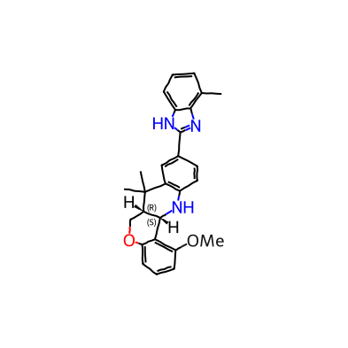 COc1cccc2c1[C@H]1Nc3ccc(-c4nc5c(C)cccc5[nH]4)cc3C(C)(C)[C@H]1CO2